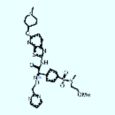 COCCN(C)S(=O)(=O)c1ccc(/C(=N\OCc2ncccn2)C(=O)Nc2nc3ccc(OC4CCN(C)CC4)nc3s2)cc1